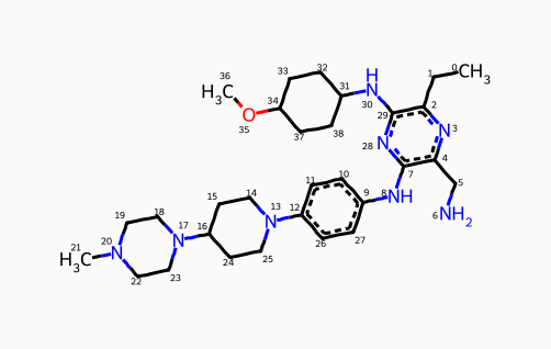 CCc1nc(CN)c(Nc2ccc(N3CCC(N4CCN(C)CC4)CC3)cc2)nc1NC1CCC(OC)CC1